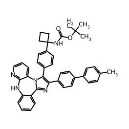 Cc1ccc(-c2ccc(-c3nc4n(c3-c3ccc(C5(NC(=O)OC(C)(C)C)CCC5)cc3)-c3cccnc3Nc3ccccc3-4)cc2)cc1